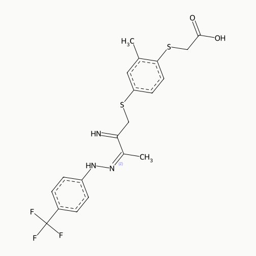 C/C(=N/Nc1ccc(C(F)(F)F)cc1)C(=N)CSc1ccc(SCC(=O)O)c(C)c1